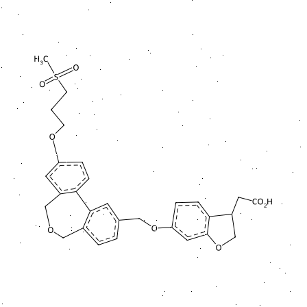 CS(=O)(=O)CCCOc1ccc2c(c1)COCc1ccc(COc3ccc4c(c3)OCC4CC(=O)O)cc1-2